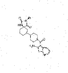 CC(C)N1C(=O)NC2(CCCN(C3CCN(C(=O)c4c(N)sc5ncccc45)CC3)C2)C1=O